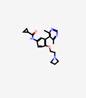 Cc1ncnc(C)c1-c1cc(NC(=O)C2CC2)ccc1OCCN1CCC1